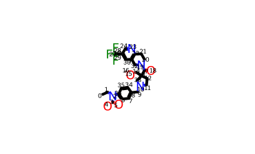 CCn1c(=O)oc2cc(CN3CCC(COC)(C(=O)N4CCc5ncc(C(F)(F)F)cc5C4)C3)ccc21